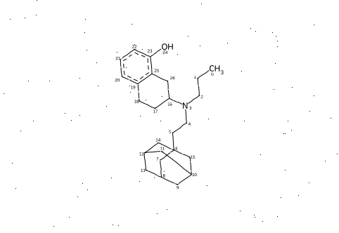 CCCN(CCC12CC3CC(CC(C3)C1)C2)C1CCc2cccc(O)c2C1